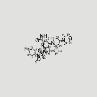 CON(c1ccc(F)cc1)S(=O)(=O)n1nc(C2CCC2)c2c(N3CCC(N4CCOCC4)CC3)cc(C(N)=O)nc21